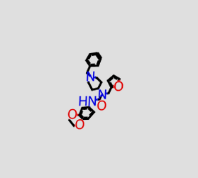 O=C(Nc1ccc2c(c1)OCCO2)N(Cc1ccco1)C1CCN(Cc2cc#ccc2)CC1